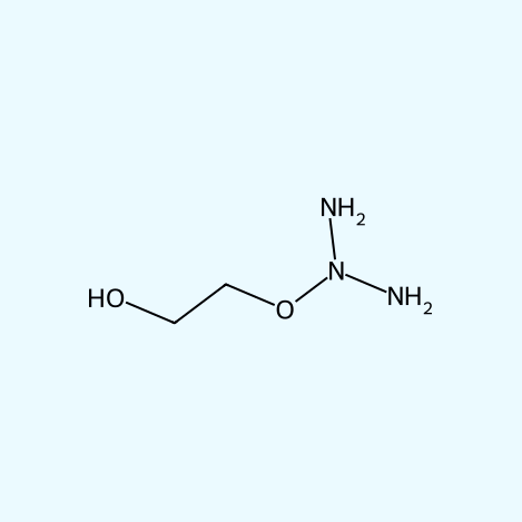 NN(N)OCCO